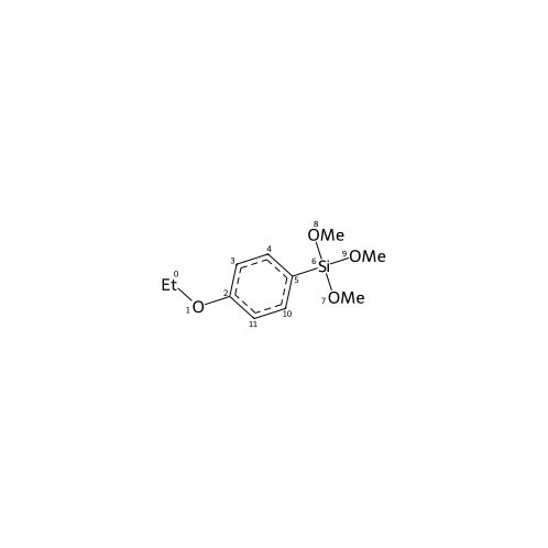 CCOc1ccc([Si](OC)(OC)OC)cc1